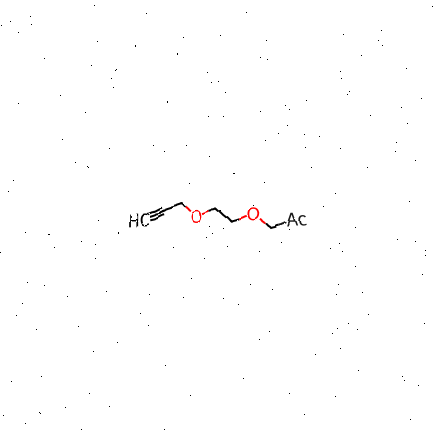 C#CCOCCOCC(C)=O